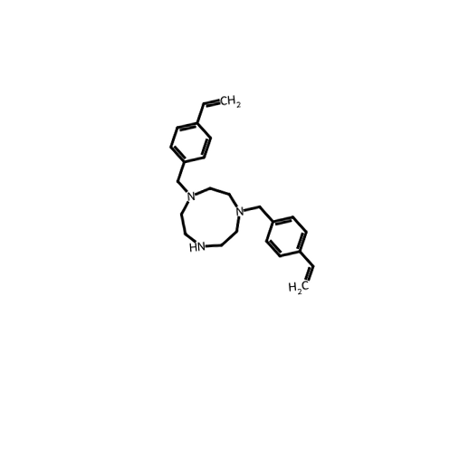 C=Cc1ccc(CN2CCNCCN(Cc3ccc(C=C)cc3)CC2)cc1